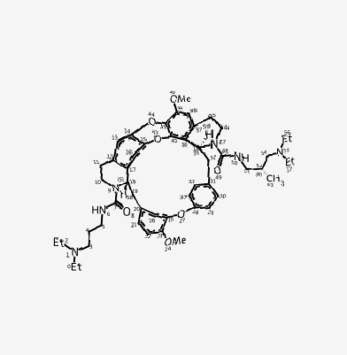 CCN(CC)CCCNC(=O)N1CCc2cc3c4cc2[C@@H]1Cc1ccc(OC)c(c1)Oc1ccc(cc1)C[C@H]1c2c(cc(OC)c(c2O4)O3)CCN1C(=O)NC[C@@H](C)CN(CC)CC